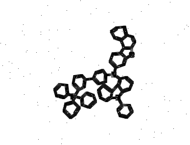 c1ccc(-n2c3ccccc3c3c(N(c4ccc(-c5cccc([Si](c6ccccc6)(c6ccccc6)c6ccccc6)c5)cc4)c4ccc5c(c4)oc4ccc6ccccc6c45)cccc32)cc1